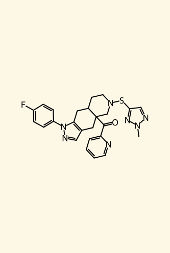 Cn1ncc(SN2CCC3Cc4c(cnn4-c4ccc(F)cc4)CC3(C(=O)c3ccccn3)C2)n1